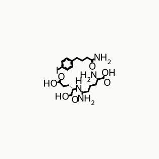 NC(=O)CCCc1ccc(I)cc1.NC(CCC[C@H](N)C(=O)O)N[C@@H](CCC(=O)O)C(=O)O